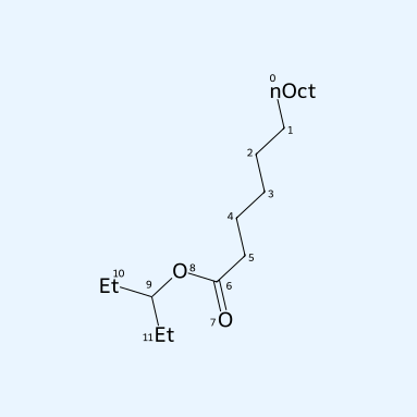 CCCCCCCCCCCCCC(=O)OC(CC)CC